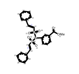 COC(=O)c1cccc(N(S(=O)(=O)/C=C/c2ccccc2)S(=O)(=O)/C=C/c2ccccc2)c1